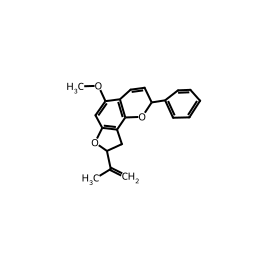 C=C(C)C1Cc2c(cc(OC)c3c2OC(c2ccccc2)C=C3)O1